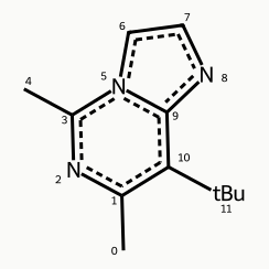 Cc1nc(C)n2ccnc2c1C(C)(C)C